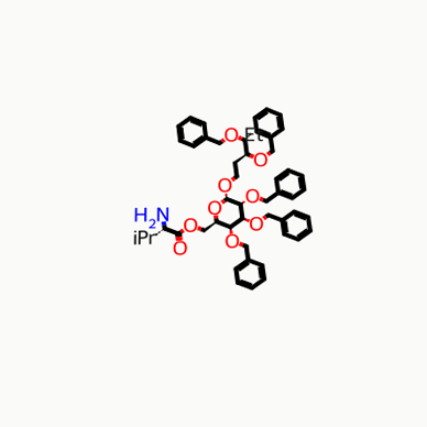 CC[C@@H](OCc1ccccc1)[C@H](CCO[C@H]1O[C@H](COC(=O)[C@@H](N)C(C)C)[C@H](OCc2ccccc2)[C@H](OCc2ccccc2)[C@H]1OCc1ccccc1)OCc1ccccc1